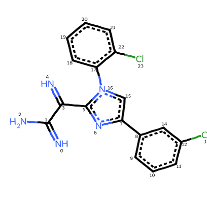 N=C(N)C(=N)c1nc(-c2cccc(Cl)c2)cn1-c1ccccc1Cl